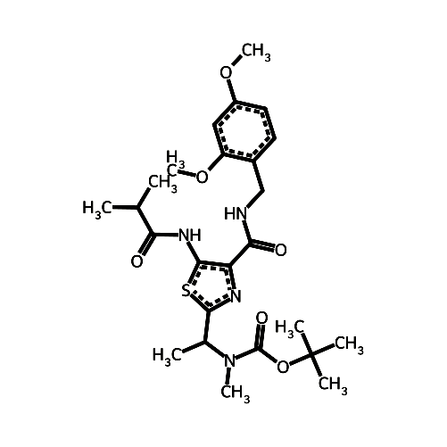 COc1ccc(CNC(=O)c2nc(C(C)N(C)C(=O)OC(C)(C)C)sc2NC(=O)C(C)C)c(OC)c1